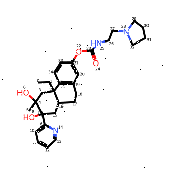 CCC12CC(C)(O)C(O)(c3ccccn3)CC1CCc1cc(OC(=O)NCCN3CCCC3)ccc12